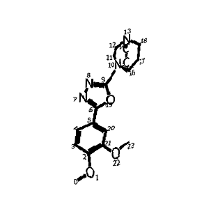 COc1ccc(-c2nnc(N3CCN4CCC3CC4)o2)cc1OC